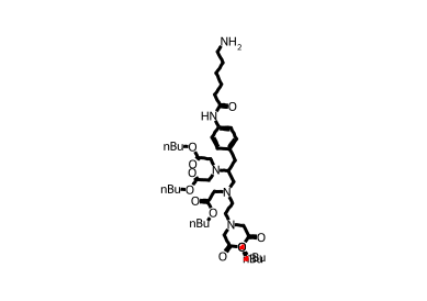 CCCCOC(=O)CN(CCN(CC(=O)OCCCC)CC(Cc1ccc(NC(=O)CCCCCN)cc1)N(CC(=O)OCCCC)CC(=O)OCCCC)CC(=O)OCCCC